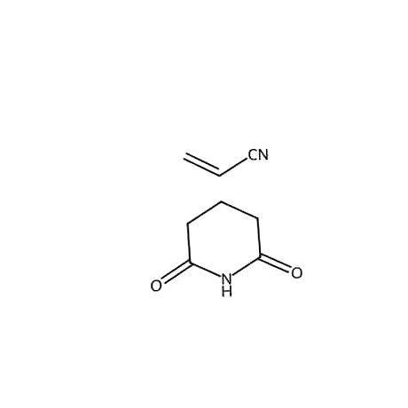 C=CC#N.O=C1CCCC(=O)N1